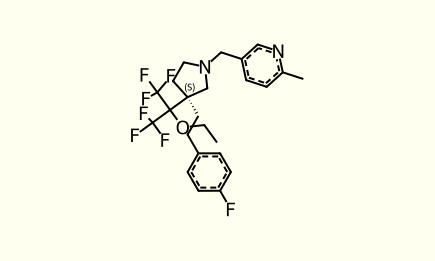 CCOC(C(F)(F)F)(C(F)(F)F)[C@@]1(CCc2ccc(F)cc2)CCN(Cc2ccc(C)nc2)C1